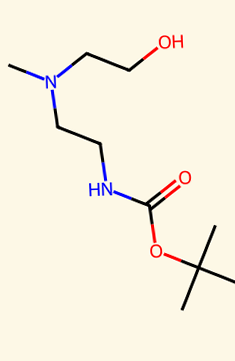 CN(CCO)CCNC(=O)OC(C)(C)C